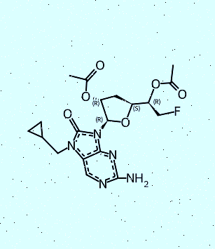 CC(=O)O[C@@H](CF)[C@@H]1C[C@@H](OC(C)=O)[C@H](n2c(=O)n(CC3CC3)c3cnc(N)nc32)O1